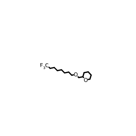 FC(F)(F)CCCCCCCOCC1CCCCO1